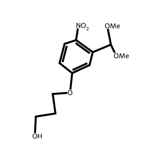 COC(OC)c1cc(OCCCO)ccc1[N+](=O)[O-]